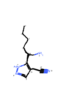 CCCCC(N)c1[nH]ncc1C#N